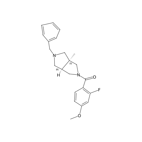 COc1ccc(C(=O)N2C[C@H]3CN(Cc4ccccc4)C[C@@]3(C)C2)c(F)c1